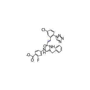 COC(=O)c1ccc(NC[C@H](Cc2ccccc2)NC(=O)/C=C/c2cc(Cl)ccc2-n2cnnn2)cc1F